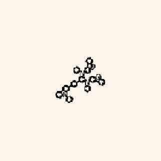 C1=CC(N(c2cc(C3=CCC(c4ccc5c6ccccc6n(-c6ccccc6)c5c4)C=C3)cc(N(c3ccccc3)c3ccc4oc5ccccc5c4c3)c2)c2ccc3oc4ccccc4c3c2)=CCC1